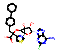 Nc1nc(Cl)nc2c1ncn2[C@@H]1O[C@@H]2C(OC(Cc3ccc(-c4ccccc4)cc3)(C(=O)O)c3cscn3)[C@]2(O)[C@H]1O